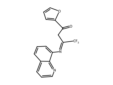 O=C(CC(=Nc1cccc2cccnc12)C(F)(F)F)c1ccco1